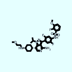 COCCN[C@H]1CC[C@H](c2cnc(N)c3c(-c4cc(F)c(NS(=O)(=O)c5cccc(OC)c5F)cc4F)nn(C(C)C)c32)CC1